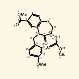 COC(=O)c1ccc2c(c1)N(Cc1ccc(OC)cc1)C(=O)[C@@H](NC(=O)OC(C)(C)C)CS2